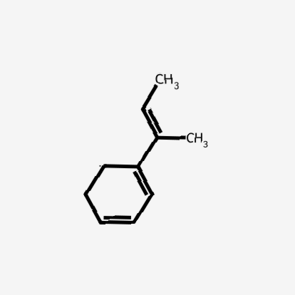 CC=C(C)C1=CC=CC[CH]1